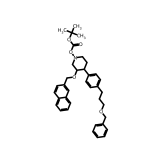 CC(C)(C)OC(=O)ON1CCC(c2ccc(CCCOCc3ccccc3)cc2)C(OCc2ccc3ccccc3c2)C1